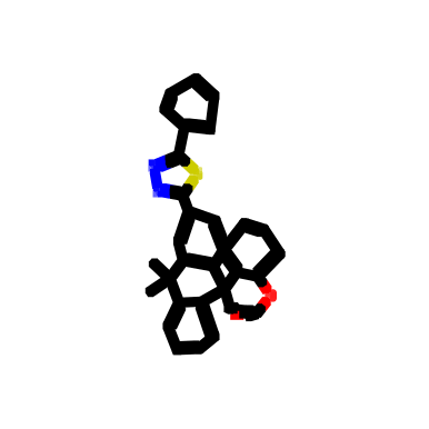 CC1(C)c2ccccc2C2(c3ccccc3Oc3ccccc32)c2ccc(-c3nnc(-c4ccccc4)s3)cc21